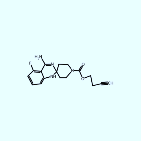 C#CCCOC(=O)N1CCC2(CC1)N=C(N)c1c(F)cccc1N2